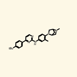 Cc1cc(Nc2nccc(-c3ccc(C(C)(C)C)cc3)n2)ccc1N1CC2CC1CN2C